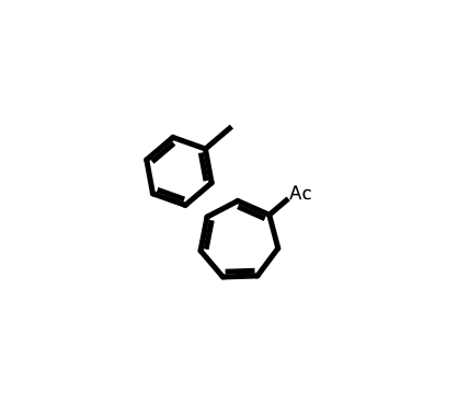 CC(=O)C1=CC=CC=CC1.Cc1ccccc1